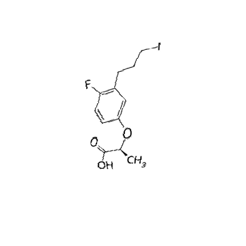 C[C@H](Oc1ccc(F)c(CCCI)c1)C(=O)O